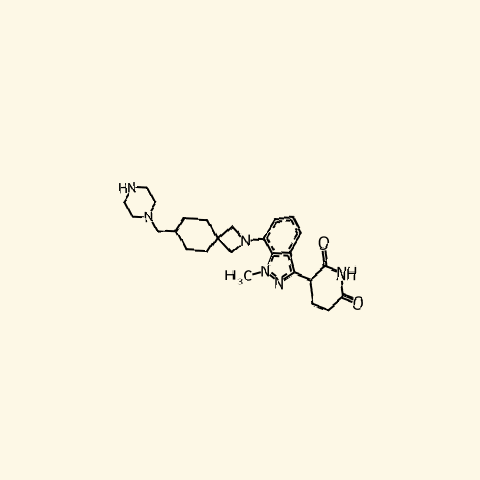 Cn1nc(C2CCC(=O)NC2=O)c2cccc(N3CC4(CCC(CN5CCNCC5)CC4)C3)c21